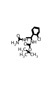 CC(C)(C)OC(=O)NC(CNC(N)=O)c1ccccc1Cl